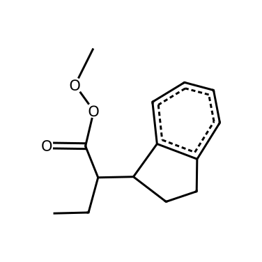 CCC(C(=O)OOC)C1CCc2ccccc21